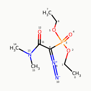 CCOP(=O)(OCC)C(=[N+]=[N-])C(=O)N(C)C